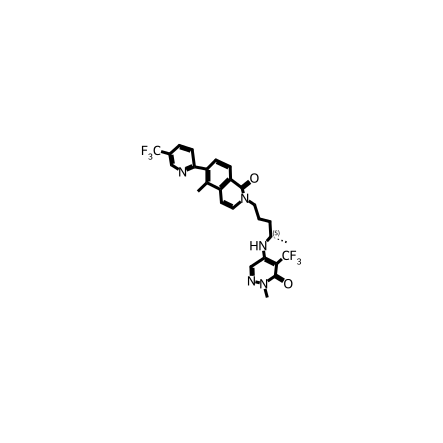 Cc1c(-c2ccc(C(F)(F)F)cn2)ccc2c(=O)n(CCC[C@H](C)Nc3cnn(C)c(=O)c3C(F)(F)F)ccc12